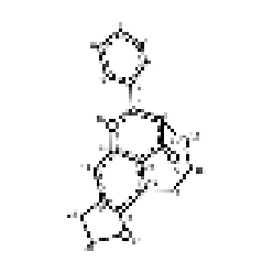 O=c1c2c(-c3ccccc3)oc3cc4c(c(c13)CCO2)OCC4